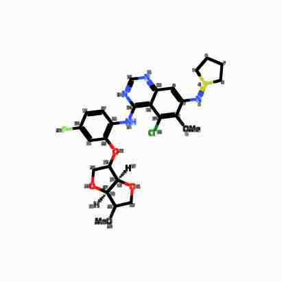 COc1c(N=S2CCCC2)cc2ncnc(Nc3ccc(F)cc3OC3CO[C@@H]4C(OC)CO[C@H]34)c2c1Cl